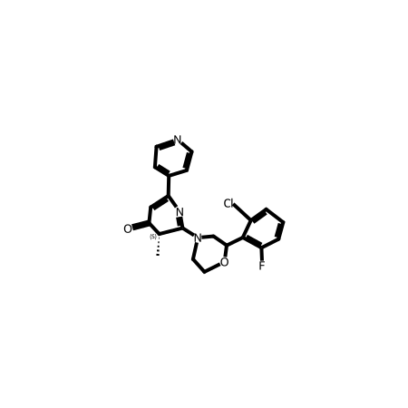 C[C@@H]1C(=O)C=C(c2ccncc2)N=C1N1CCOC(c2c(F)cccc2Cl)C1